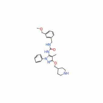 COCc1cccc(CNC(=O)Nc2c(C)c(OCC3CCNCC3)nn2-c2ccccc2)c1